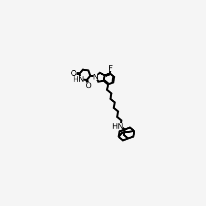 O=C1CCC(N2Cc3c(F)ccc(CCCCCCCCNC45CC6CC(CC(C6)C4)C5)c3C2)C(=O)N1